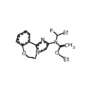 C=C(OCC)N(c1cn2c(n1)-c1ccccc1OCC2)C(F)CC